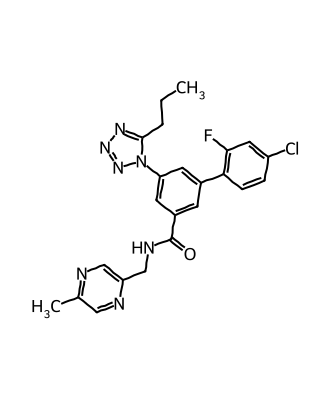 CCCc1nnnn1-c1cc(C(=O)NCc2cnc(C)cn2)cc(-c2ccc(Cl)cc2F)c1